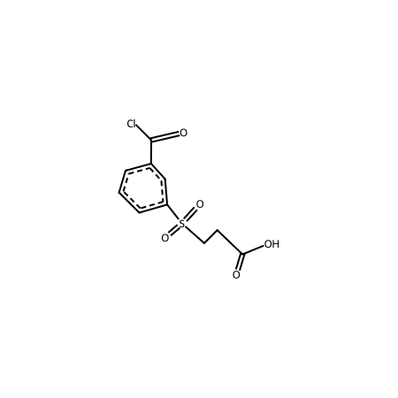 O=C(O)CCS(=O)(=O)c1cccc(C(=O)Cl)c1